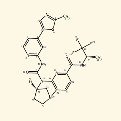 Cc1ncc(-c2ccnc(NC(=O)N3c4nc(C(=O)N[C@H](C)C(F)(F)F)ccc4N4CC[C@H]3C4)c2)s1